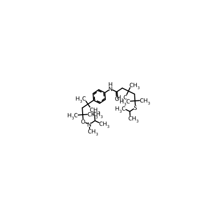 CC(C)SC(C)(C)CC(C)(C)CC(=O)Nc1ccc(C(C)(C)CC(C)(C)ON(C)C(C)C)cc1